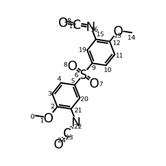 COc1ccc(S(=O)(=O)c2ccc(OC)c(N=C=O)c2)cc1N=C=O